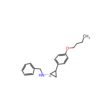 CCCCOc1ccc(C2C[C@@H]2NCc2ccccc2)cc1